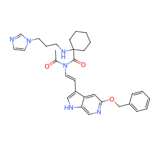 CC(=O)N(C=Cc1c[nH]c2cnc(OCc3ccccc3)cc12)C(=O)C1(NCCCn2ccnc2)CCCCC1